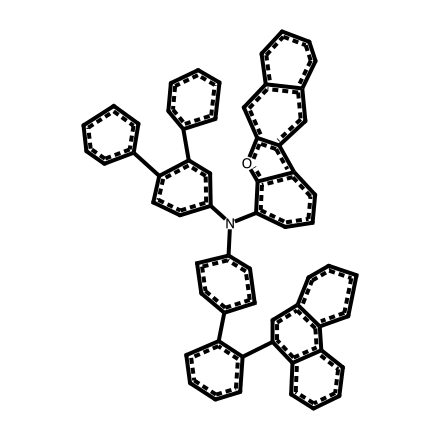 c1ccc(-c2ccc(N(c3ccc(-c4ccccc4-c4cc5ccccc5c5ccccc45)cc3)c3cccc4c3oc3cc5ccccc5cc34)cc2-c2ccccc2)cc1